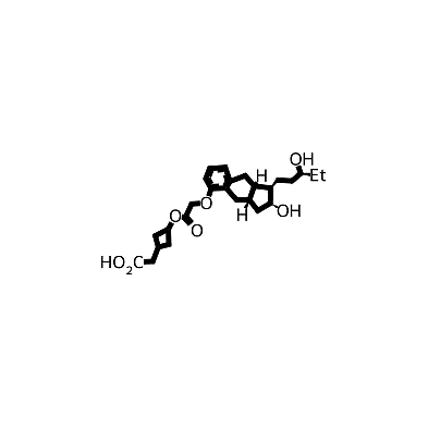 CC[C@H](O)CC[C@@H]1[C@H]2Cc3cccc(OCC(=O)OC4CC(CC(=O)O)C4)c3C[C@H]2C[C@H]1O